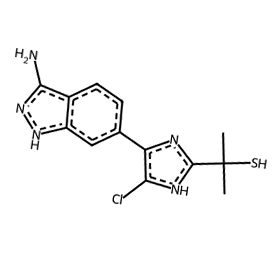 CC(C)(S)c1nc(-c2ccc3c(N)n[nH]c3c2)c(Cl)[nH]1